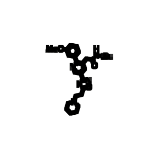 COc1cccc(-c2ncc(-c3noc(CCN4CCCCC4)n3)cc2CC(=O)NC(C)(C)C)c1